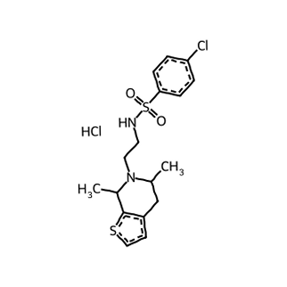 CC1Cc2ccsc2C(C)N1CCNS(=O)(=O)c1ccc(Cl)cc1.Cl